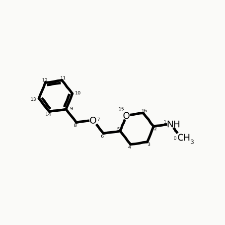 CNC1CCC(COCc2ccccc2)OC1